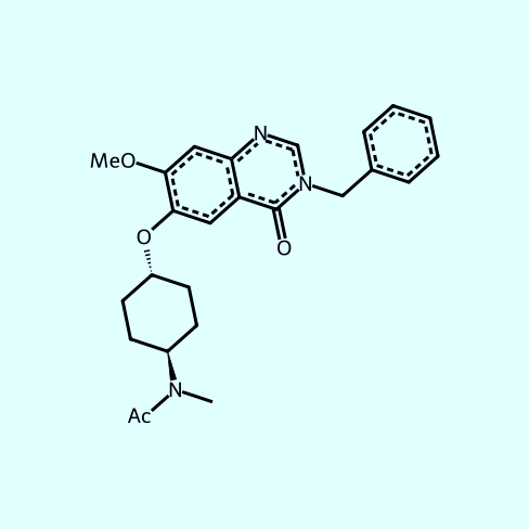 COc1cc2ncn(Cc3ccccc3)c(=O)c2cc1O[C@H]1CC[C@H](N(C)C(C)=O)CC1